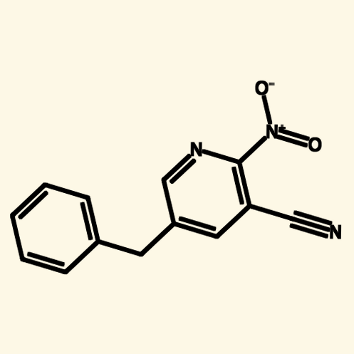 N#Cc1cc(Cc2ccccc2)cnc1[N+](=O)[O-]